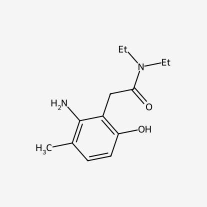 CCN(CC)C(=O)Cc1c(O)ccc(C)c1N